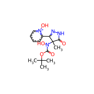 CC(C)(C)OC(=O)N(O)C1(C)C(=O)NN=C1c1cccc[n+]1O